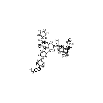 COc1ncc(-c2ccc(N(C(=O)NCc3ccccc3)C3CCC(Nc4ncc(C(F)(F)F)c(NC5COC5)n4)CC3)nc2)cn1